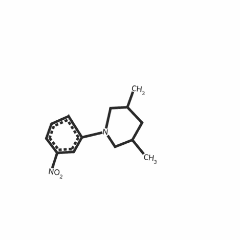 CC1CC(C)CN(c2[c]ccc([N+](=O)[O-])c2)C1